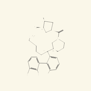 COCCCC[C@](O)(c1cccc(F)c1-c1cccc(Cl)c1F)[C@@H]1CCCN(C(=O)[C@H]2C[C@@H](N)[C@@H](O)C2)C1